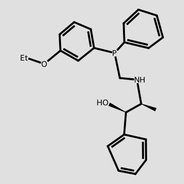 CCOc1cccc(P(CN[C@@H](C)[C@H](O)c2ccccc2)c2ccccc2)c1